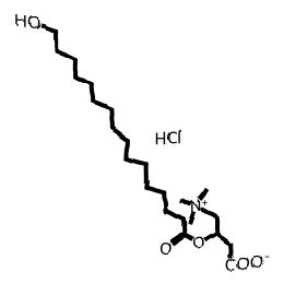 C[N+](C)(C)CC(CC(=O)[O-])OC(=O)CCCCCCCCCCCCCCCO.Cl